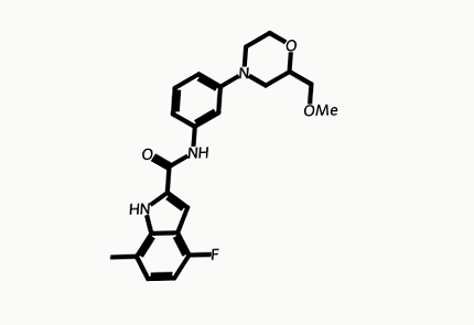 COCC1CN(c2cccc(NC(=O)c3cc4c(F)ccc(C)c4[nH]3)c2)CCO1